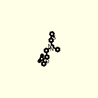 c1ccc(-c2cc(-c3ccc4c(c3)sc3ccccc34)nc(-c3cccc(-c4ccc5c(c4)C4(c6ccccc6O5)c5ccccc5-c5ccccc54)c3)n2)cc1